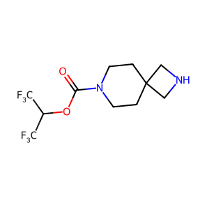 O=C(OC(C(F)(F)F)C(F)(F)F)N1CCC2(CC1)CNC2